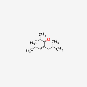 CCC=C(CC(C)C)C(=O)C(C)C